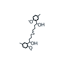 COc1ccc(C)cc1C(O)CCCSCCCC(O)c1cc(C)ccc1OC